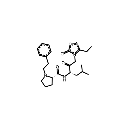 CCc1noc(=O)n1CC(=O)[C@H](CC(C)C)NC(=O)[C@@H]1CCCN1CCc1ccccc1